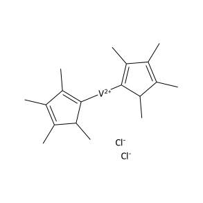 CC1=C(C)C(C)[C]([V+2][C]2=C(C)C(C)=C(C)C2C)=C1C.[Cl-].[Cl-]